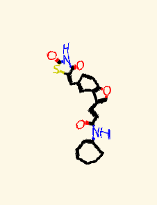 O=C(C=Cc1coc2ccc(C=C3SC(=O)NC3=O)cc12)NC1CCCCCC1